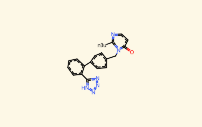 CCCCc1nccc(=O)n1Cc1ccc(-c2ccccc2-c2nnn[nH]2)cc1